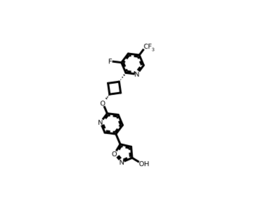 Oc1cc(-c2ccc(O[C@H]3C[C@@H](c4ncc(C(F)(F)F)cc4F)C3)nc2)on1